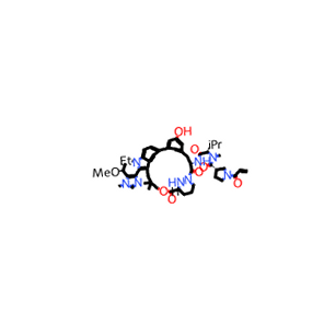 C=CC(=O)N1CC[C@H](C(=O)N(C)[C@H](C(=O)N[C@H]2Cc3cc(O)cc(c3)-c3ccc4c(c3)c(c(-c3ncn(C)c3[C@H](C)OC)n4CC)CC(C)(C)COC(=O)[C@@H]3CCCN(N3)C2=O)C(C)C)C1